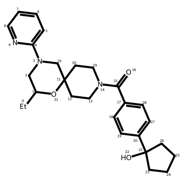 CCC1CN(c2ccccn2)CC2(CCN(C(=O)c3ccc(C4(O)CCCC4)cc3)CC2)O1